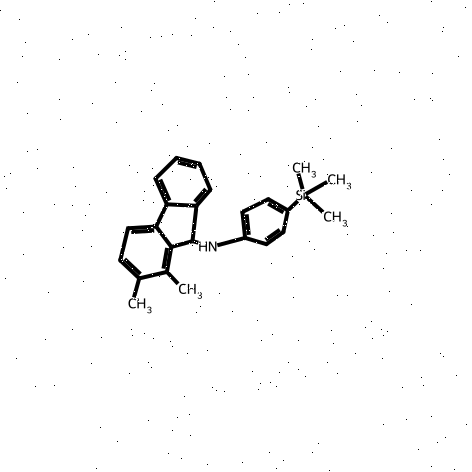 Cc1ccc2c(c1C)C(Nc1ccc([Si](C)(C)C)cc1)c1ccccc1-2